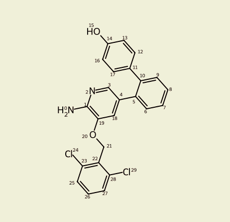 Nc1ncc(-c2ccccc2-c2ccc(O)cc2)cc1OCc1c(Cl)cccc1Cl